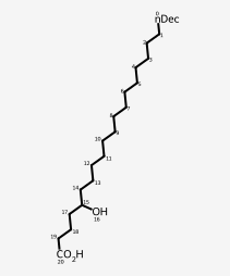 CCCCCCCCCCCCCCCCCCCCCCCCC(O)CCCC(=O)O